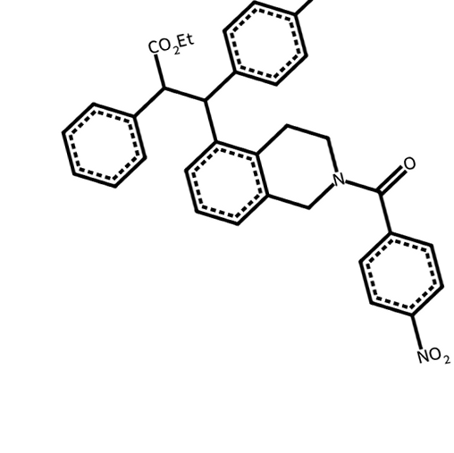 CCOC(=O)C(c1ccccc1)C(c1ccc([N+](=O)[O-])cc1)c1cccc2c1CCN(C(=O)c1ccc([N+](=O)[O-])cc1)C2